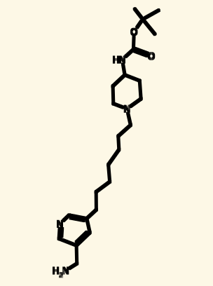 CC(C)(C)OC(=O)NC1CCN(CCCCCCCc2cncc(CN)c2)CC1